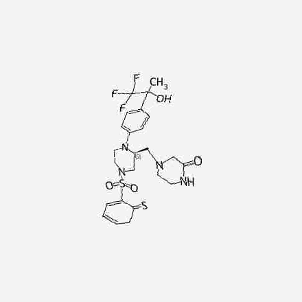 CC(O)(c1ccc(N2CCN(S(=O)(=O)C3=CC=CCC3=S)C[C@@H]2CN2CCNC(=O)C2)cc1)C(F)(F)F